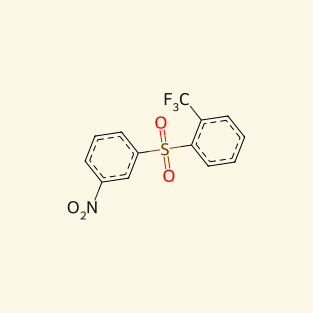 O=[N+]([O-])c1cccc(S(=O)(=O)c2ccccc2C(F)(F)F)c1